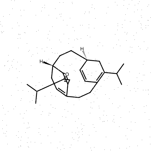 CC(C)C1=C2C=C[C@@H](CC[C@H]3CC=C(CC2)c2cc(C(C)C)oc23)C1